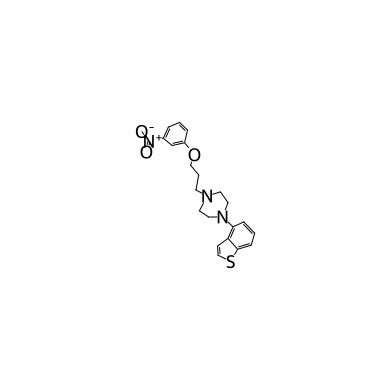 O=[N+]([O-])c1cccc(OCCCN2CCN(c3cccc4sccc34)CC2)c1